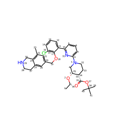 CCO[C@@H]1CN(c2cccc(-c3cccc(Cl)c3OCc3cc(C)c4c(c3)CCNC4)n2)CC[C@@H]1C(=O)OC(C)(C)C